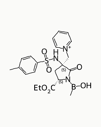 CCOC(=O)[C@@H]1C[C@@](C[n+]2ccccc2)(NS(=O)(=O)c2ccc(C)cc2)C(=O)N1B(C)O